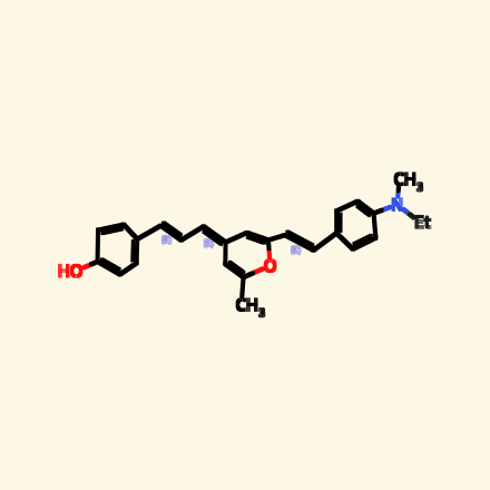 CCN(C)c1ccc(/C=C/C2=CC(=C/C=C/c3ccc(O)cc3)/C=C(C)O2)cc1